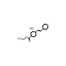 CCOC(=O)c1ccc(C=Cc2ccncc2)cc1.Cl